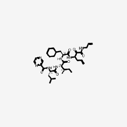 C=CCNC(=O)C(=O)C(CC=C)NC(=O)[C@H](CC1CCCCC1)NC(=O)[C@@H](NC(=O)[C@H](CC(C)C)NC(=O)c1cnccn1)[C@H](C)CC